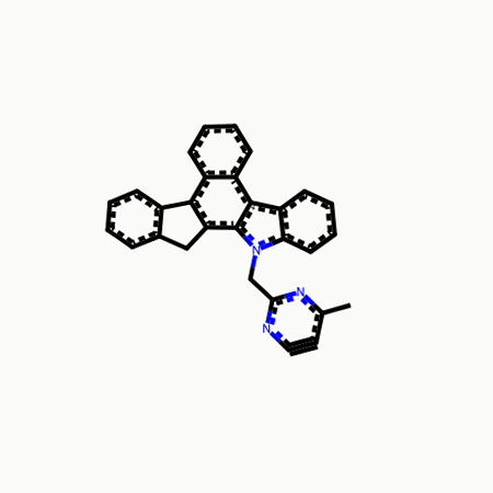 Cc1c#cnc(Cn2c3ccccc3c3c4ccccc4c4c(c32)Cc2ccccc2-4)n1